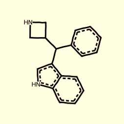 c1ccc(C(c2c[nH]c3ccccc23)C2CNC2)cc1